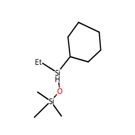 CC[SiH](O[Si](C)(C)C)C1CCCCC1